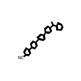 CC(c1ccccc1)c1ccc(-c2ccc(-c3ccc(-c4ccc(C#N)cc4)cc3)cc2)cc1